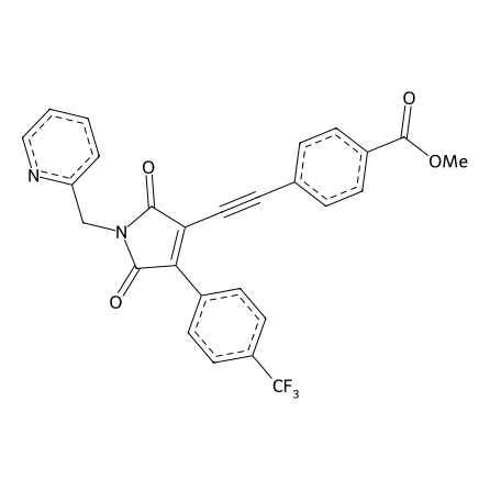 COC(=O)c1ccc(C#CC2=C(c3ccc(C(F)(F)F)cc3)C(=O)N(Cc3ccccn3)C2=O)cc1